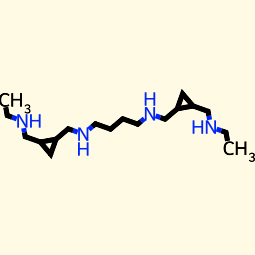 CCNCC1CC1CNCCCCNCC1CC1CNCC